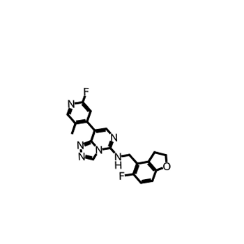 Cc1cnc(F)cc1-c1cnc(NCc2c(F)ccc3c2CCO3)n2cnnc12